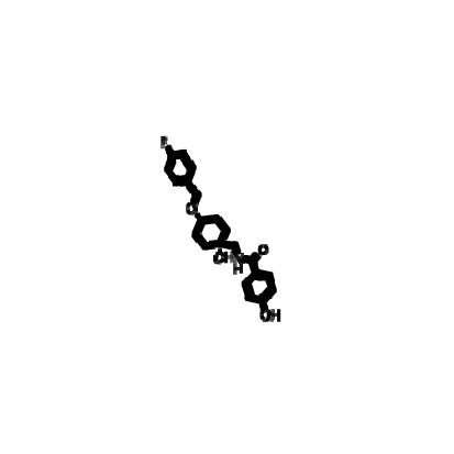 O=C(NC[C@]1(O)CC[C@H](OCc2ccc(F)cc2)CC1)c1ccc(O)cc1